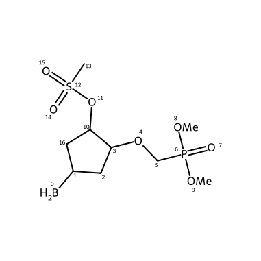 BC1CC(OCP(=O)(OC)OC)C(OS(C)(=O)=O)C1